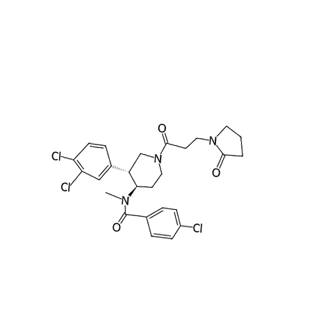 CN(C(=O)c1ccc(Cl)cc1)[C@@H]1CCN(C(=O)CCN2CCCC2=O)C[C@H]1c1ccc(Cl)c(Cl)c1